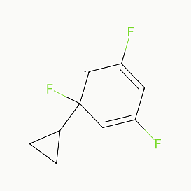 FC1=CC(F)=CC(F)(C2CC2)[CH]1